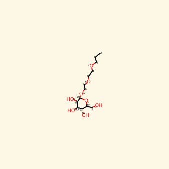 CCCOCCOCCO[C@H]1OC(CO)[C@H](O)C(O)C1O